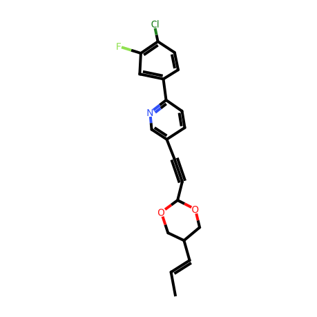 C/C=C/C1COC(C#Cc2ccc(-c3ccc(Cl)c(F)c3)nc2)OC1